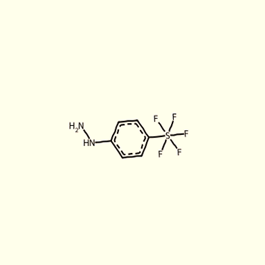 NNc1ccc(S(F)(F)(F)(F)F)cc1